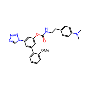 COc1ccccc1-c1cc(OC(=O)NCCc2ccc(N(C)C)cc2)cc(-n2cnnn2)c1